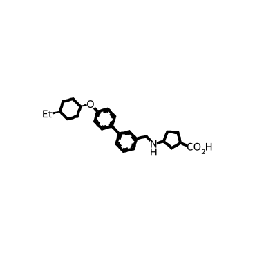 CC[C@H]1CC[C@@H](Oc2ccc(-c3cccc(CNC4CCC(C(=O)O)C4)c3)cc2)CC1